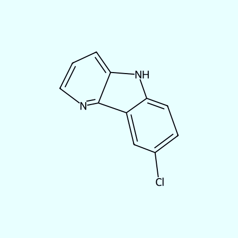 Clc1ccc2[nH]c3cccnc3c2c1